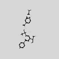 C[C@]1(C(N)=O)COc2c1cc(C(O)(CNC(=O)c1ccc3nc(C(F)F)sc3c1)C(F)(F)F)nc2-c1ccc(F)cc1